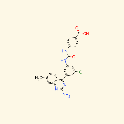 Cc1ccc2c(-c3cc(Cl)cc(NC(=O)Nc4ccc(C(=O)O)cc4)c3)nc(N)nc2c1